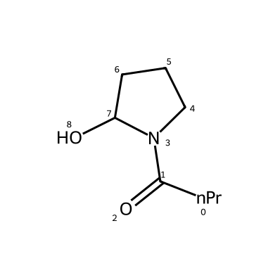 CCCC(=O)N1CCCC1O